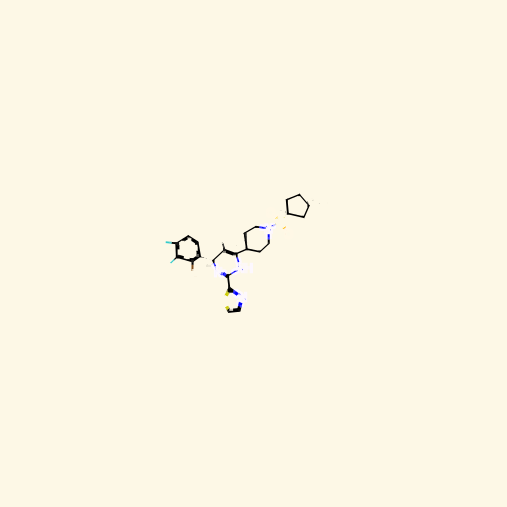 CCOC(=O)C1=C(C2CCN(S(=O)(=O)[C@H]3CC[C@H](C(=O)O)C3)CC2)NC(c2nccs2)=N[C@H]1c1ccc(F)c(F)c1Br